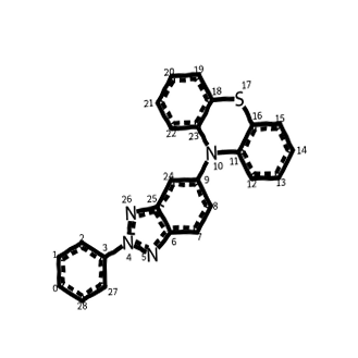 c1ccc(-n2nc3ccc(N4c5ccccc5Sc5ccccc54)cc3n2)cc1